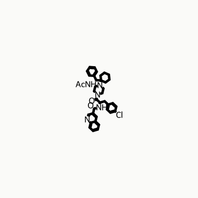 CC(=O)NC(c1ccccc1)C1(N2CCN(C(=O)C(Cc3ccc(Cl)cc3)NC(=O)c3cnc4ccccc4c3)CC2)CCCCC1